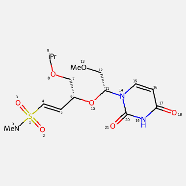 CNS(=O)(=O)/C=C/[C@H](COC(C)C)O[C@H](COC)n1ccc(=O)[nH]c1=O